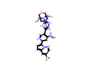 CC(=O)N1C[C@H]2COC[C@@H](C1)N2c1nnc(-c2cnc(-c3ccc4cc(C#N)cnn34)cc2NC(C)C)s1